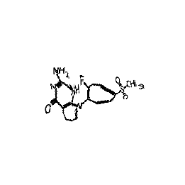 CS(=O)(=O)c1ccc(N2CCc3c2[nH]c(N)nc3=O)c(F)c1